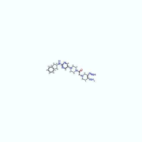 N=NC1=C(N)CCN(CC(=O)N2CCN(c3cnc(NC4Cc5ccccc5C4)nc3)CC2)C1